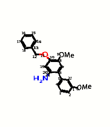 COc1cccc(-c2cc(OC)c(OCc3ccccc3)cc2N)c1